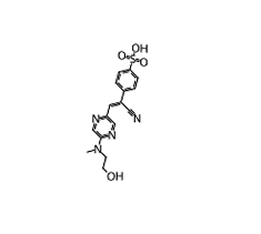 CN(CCO)c1cnc(/C=C(\C#N)c2ccc(S(=O)(=O)O)cc2)cn1